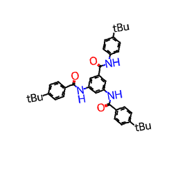 CC(C)(C)c1ccc(NC(=O)c2cc(NC(=O)c3ccc(C(C)(C)C)cc3)cc(NC(=O)c3ccc(C(C)(C)C)cc3)c2)cc1